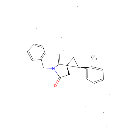 C=C1N(Cc2ccccc2)C(=O)C[C@]12C[C@H]2c1ccccc1C(F)(F)F